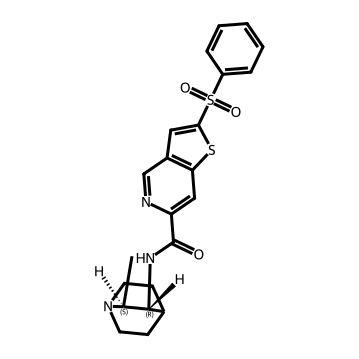 C[C@H]1[C@H](NC(=O)c2cc3sc(S(=O)(=O)c4ccccc4)cc3cn2)C2CCN1CC2